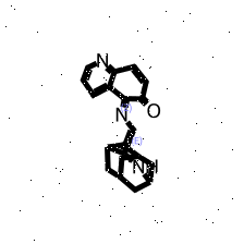 O=C1C=Cc2ncccc2/C1=N/C=C1/NC2CC3CC(C2)CC1C3